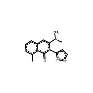 Cc1cccc2cc([C@H](C)N)n(-c3cc[nH]n3)c(=O)c12